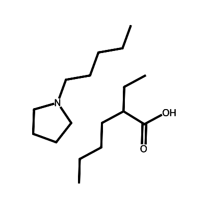 CCCCC(CC)C(=O)O.CCCCCN1CCCC1